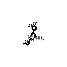 COc1ccc(-c2cc(N)n3nc(-c4ccc(C)o4)nc3c2)cc1OC